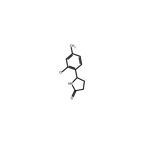 Cc1ccc(C2CCC(=O)N2)c(Cl)c1